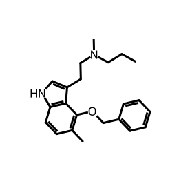 CCCN(C)CCc1c[nH]c2ccc(C)c(OCc3ccccc3)c12